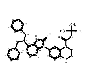 CC(C)(C)OC(=O)N1CCOc2ccc(-n3c(=O)[nH]c4c(N(Cc5ccccc5)Cc5ccccc5)ncnc43)cc21